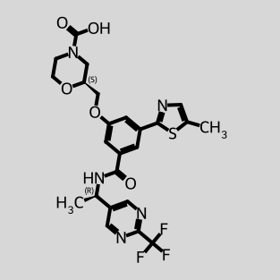 Cc1cnc(-c2cc(OC[C@@H]3CN(C(=O)O)CCO3)cc(C(=O)N[C@H](C)c3cnc(C(F)(F)F)nc3)c2)s1